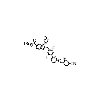 CC(C)(C)OC(=O)c1ccc2cc(Cc3cc(F)c(-c4cccc(OCc5ccc(C#N)cc5F)n4)cc3F)n([C@H]3CCOC3)c2c1